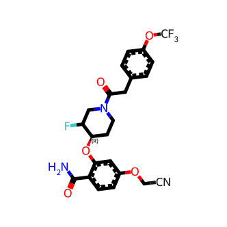 N#CCOc1ccc(C(N)=O)c(O[C@@H]2CCN(C(=O)Cc3ccc(OC(F)(F)F)cc3)CC2F)c1